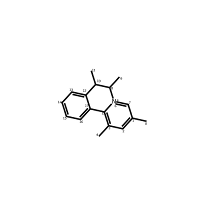 Cc1cc(C)c2[n+](c1)C(C)C(C)c1ccccc1-2